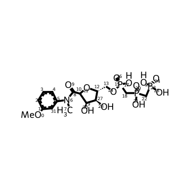 COc1cccc(N(C)C(=O)C2O[C@H](COP(=O)(O)CP(=O)(O)CP(=O)(O)O)[C@@H](O)[C@H]2O)c1